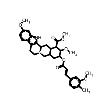 COC(=O)C1C2CC3c4[nH]c5cc(OC)ccc5c4CCN3CC2CC(OC(=O)/C=C/c2ccc(C)c(OC)c2)C1OC